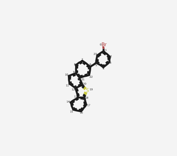 Brc1cccc(-c2ccc3ccc4c5ccccc5sc4c3c2)c1